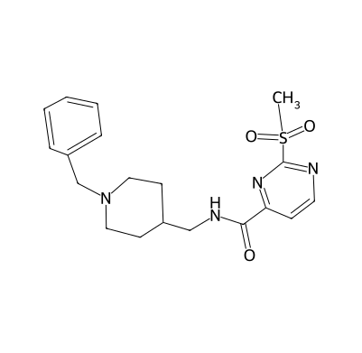 CS(=O)(=O)c1nccc(C(=O)NCC2CCN(Cc3ccccc3)CC2)n1